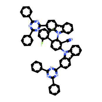 N#Cc1c(-n2c3ccccc3c3ccc(-c4nc(-c5ccccc5)nc(-c5ccccc5)n4)cc32)ccc(-c2c(F)cccc2F)c1-n1c2ccccc2c2ccc(-c3nc(-c4ccccc4)nc(-c4ccccc4)n3)cc21